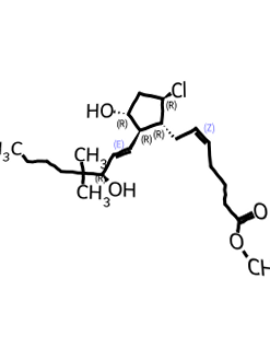 CCCCC(C)(C)[C@H](O)/C=C/[C@@H]1[C@@H](C/C=C\CCCC(=O)OC)[C@H](Cl)C[C@H]1O